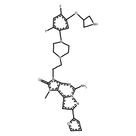 Cn1c(=O)n(CCN2CCN(c3cc(OC4CNC4)c(F)cc3F)CC2)c2nc(N)n3nc(-c4ccco4)cc3c21